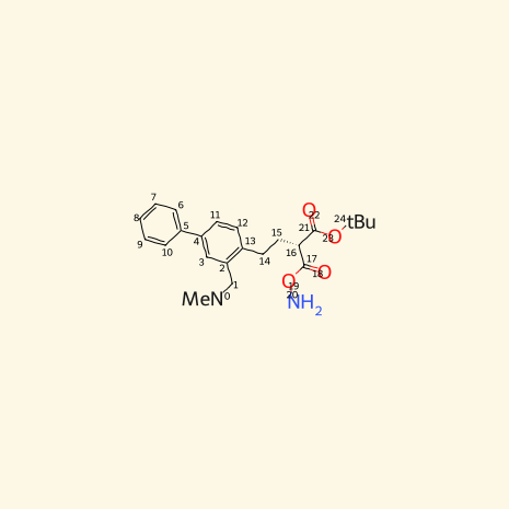 CNCc1cc(-c2ccccc2)ccc1CC[C@@H](C(=O)ON)C(=O)OC(C)(C)C